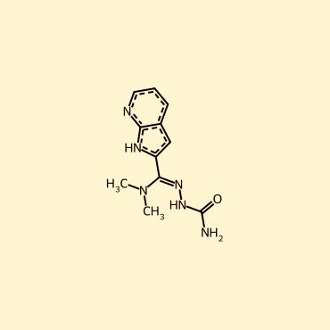 CN(C)C(=NNC(N)=O)c1cc2cccnc2[nH]1